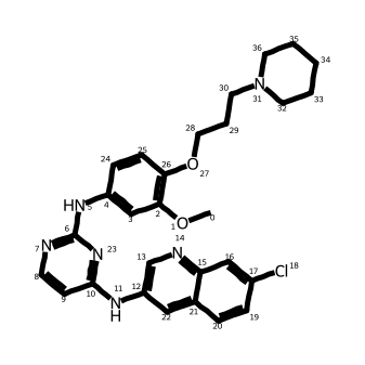 COc1cc(Nc2nccc(Nc3cnc4cc(Cl)ccc4c3)n2)ccc1OCCCN1CCCCC1